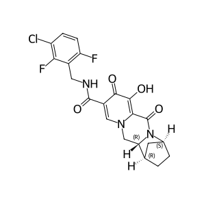 O=C(NCc1c(F)ccc(Cl)c1F)c1cn2c(c(O)c1=O)C(=O)N1[C@H]3CC[C@H](C3)[C@@H]1C2